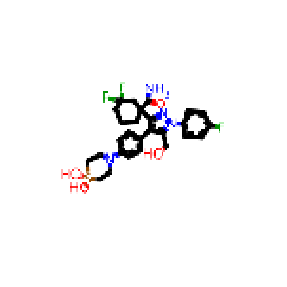 NC(=O)C1(c2nn(-c3ccc(F)cc3)c(CO)c2-c2ccc(N3CCS(O)(O)CC3)cc2)CCCC(F)(F)C1